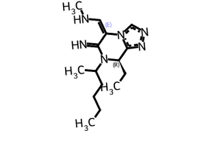 CCCCC(C)N1C(=N)/C(=C\NC)n2cnnc2[C@H]1CC